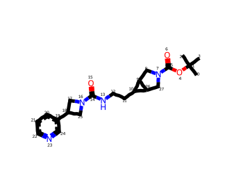 CC(C)(C)OC(=O)N1CC2C(CCNC(=O)N3CC(c4cccnc4)C3)C2C1